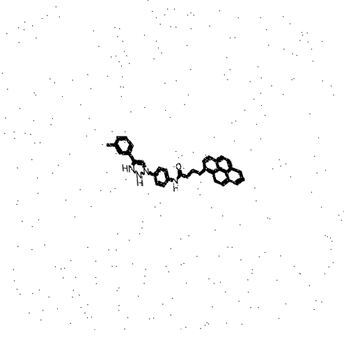 Cc1cccc(C2=CN(c3ccc(NC(=O)CCCc4ccc5ccc6c7c5c4CC=C7C=CC6)cc3)NN2)c1